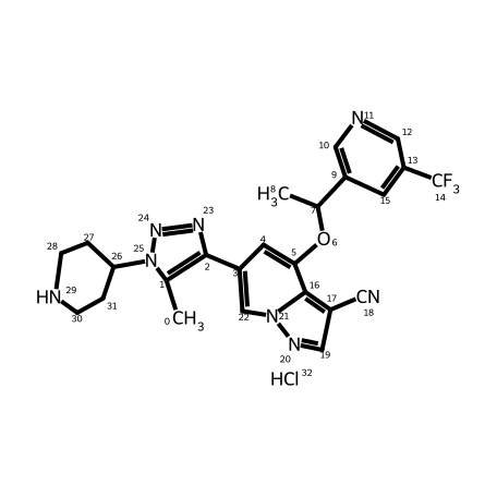 Cc1c(-c2cc(OC(C)c3cncc(C(F)(F)F)c3)c3c(C#N)cnn3c2)nnn1C1CCNCC1.Cl